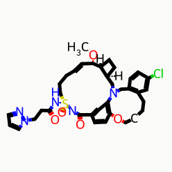 CO[C@H]1/C=C/CCC[S@@](=O)(NC(=O)CCn2cccn2)=NC(=O)c2ccc3c(c2)N(Cc2ccc(Cl)cc2CCCCO3)C[C@@H]2CC[C@H]21